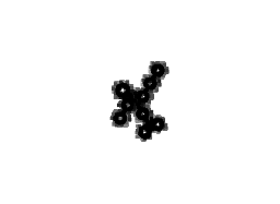 c1ccc2c(c#1)c1ccccc1n2-c1ccc(N(C2=CCC(C3C=CC(c4ccccc4)CC3)C=C2)C2CC(C3=CCCCC3)=Cc3c2oc2c3CC=CC=C2)cc1